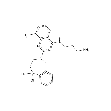 Cc1cccc2c(NCCCN)cc(N3CCS(O)(O)c4ccccc4C3)nc12